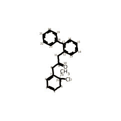 C[C@]1(Cl)CC=CC=C1CC(=O)Cc1ccccc1-c1ccccc1